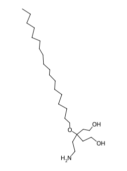 CCCCCCCCCCCCCCCCCCOC(CCN)(CCO)CCO